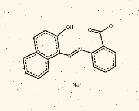 O=C([O-])c1ccccc1N=Nc1c(O)ccc2ccccc12.[Na+]